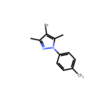 CC(=O)c1c(C)nn(-c2ccc(C(F)(F)F)cc2)c1C